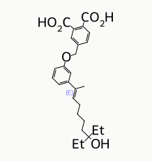 CCC(O)(CC)CCCC/C=C(\C)c1cccc(OCc2ccc(C(=O)O)c(C(=O)O)c2)c1